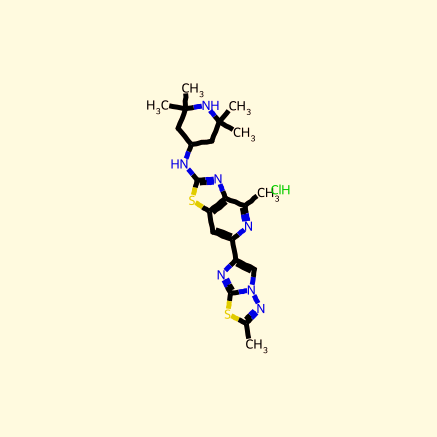 Cc1nn2cc(-c3cc4sc(NC5CC(C)(C)NC(C)(C)C5)nc4c(C)n3)nc2s1.Cl